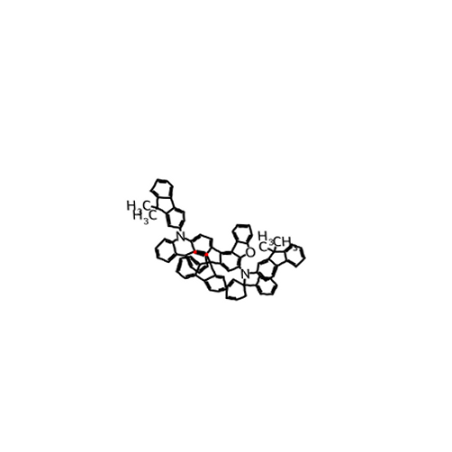 CC1(C)c2ccccc2-c2ccc(N(c3ccc4c(c3)C3(c5ccccc5-c5ccccc53)c3cc(N(c5ccc6c(c5)C(C)(C)c5ccccc5-6)C5(c6ccccc6)C=CC=CC5)c5oc6ccccc6c5c3-4)c3ccccc3-c3ccccc3)cc21